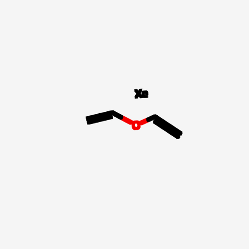 C=COC=C.[Xe]